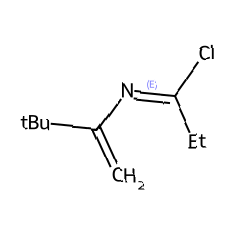 C=C(/N=C(/Cl)CC)C(C)(C)C